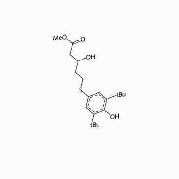 COC(=O)CC(O)CCSc1cc(C(C)(C)C)c(O)c(C(C)(C)C)c1